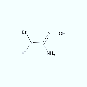 CCN(CC)C(N)=NO